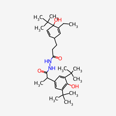 CCC1=CC(CCC(=O)NNC(=O)C(C)c2cc(C(C)(C)C)c(O)c(C(C)(C)C)c2)C=CC1(O)C(C)(C)C